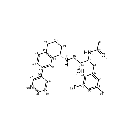 CC(=O)N[C@@H](Cc1cc(F)cc(F)c1)[C@H](O)CN[C@H]1CCCc2ccc(-c3cncnc3)cc21